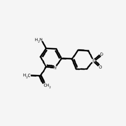 C=C(C)c1cc(N)cc(C2=CCS(=O)(=O)CC2)n1